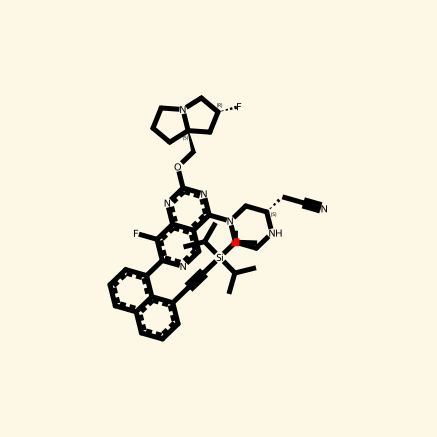 CC(C)[Si](C#Cc1cccc2cccc(-c3ncc4c(N5CCN[C@@H](CC#N)C5)nc(OC[C@@]56CCCN5C[C@H](F)C6)nc4c3F)c12)(C(C)C)C(C)C